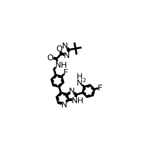 CC(C)(C)c1noc(C(=O)NCc2ccc(-c3ccnc4[nH]c(-c5ccc(F)cc5N)nc34)cc2F)n1